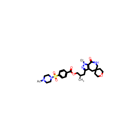 CCn1nc(C[C@@H](C)COC(=O)c2ccc(S(=O)(=O)N3CCN(C(C)=O)CC3)cc2)c2c1C(=O)NCC1(CCOCC1)C2